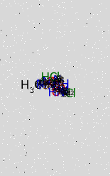 CN1CCc2nc(C(=O)NC(CNC(=O)C(=O)Nc3ccc(Cl)cn3)C(=O)Nc3nccs3)sc2C1.Cl